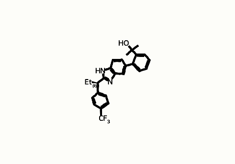 CC[C@H](c1ccc(C(F)(F)F)cc1)c1nc2cc(-c3ccccc3C(C)(C)O)ccc2[nH]1